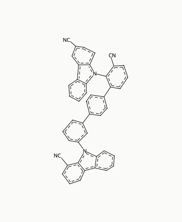 N#Cc1ccc2c(c1)c1ccccc1n2-c1c(C#N)cccc1-c1ccc(-c2cccc(-n3c4ccccc4c4cccc(C#N)c43)c2)cc1